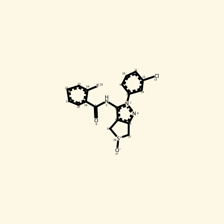 O=C(Nc1c2c(nn1-c1cccc(Cl)c1)C[S+]([O-])C2)c1ccccc1F